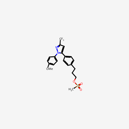 COc1ccc(-n2nc(C(F)(F)F)cc2-c2ccc(CCCOS(C)(=O)=O)cc2)cc1